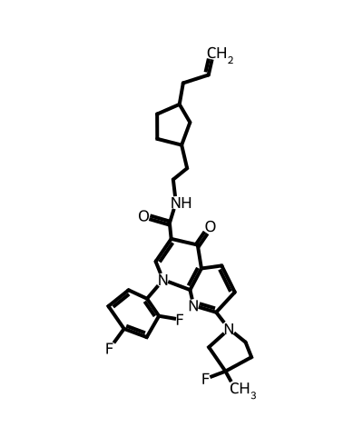 C=CCC1CCC(CCNC(=O)c2cn(-c3ccc(F)cc3F)c3nc(N4CCC(C)(F)C4)ccc3c2=O)C1